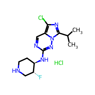 CC(C)c1nc(Cl)c2cnc(N[C@@H]3CCNC[C@H]3F)nn12.Cl